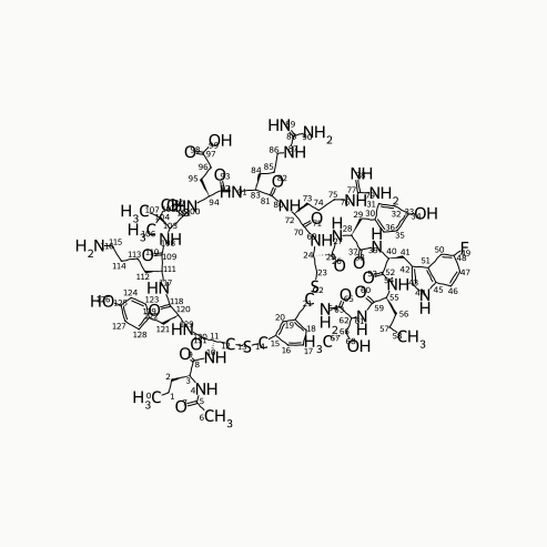 CCC[C@H](NC(C)=O)C(=O)N[C@H]1CSCc2cccc(c2)CSC[C@@H](C(=O)N[C@@H](Cc2ccc(O)cc2)C(=O)N[C@@H](Cc2c[nH]c3ccc(F)cc23)C(=O)N[C@@H](CCC)C(=O)N[C@H](C(N)=O)[C@@H](C)O)NC(=O)[C@H](CCCNC(=N)N)NC(=O)[C@H](CCCNC(=N)N)NC(=O)[C@H](CCC(=O)O)NC(=O)[C@H](C(C)(C)C)NC(=O)[C@H](CCCCN)NC(=O)[C@H](Cc2ccc(O)cc2)NC1=O